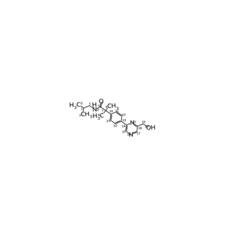 CC(C)CNC(=O)C(C)(C)c1ccc(-c2cncc(CO)n2)cc1